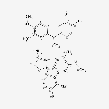 C=C(c1ccc(OC)c(C)c1)c1ccc(F)c(Br)c1.COc1ccc(C2(c3ccc(F)c(Br)c3)COC(N)=N2)cc1C